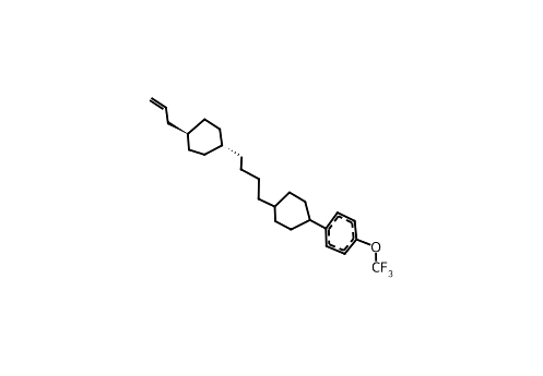 C=CC[C@H]1CC[C@H](CCCCC2CCC(c3ccc(OC(F)(F)F)cc3)CC2)CC1